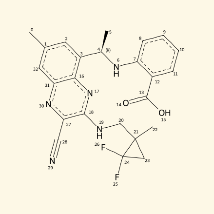 Cc1cc([C@@H](C)Nc2ccccc2C(=O)O)c2nc(NCC3(C)CC3(F)F)c(C#N)nc2c1